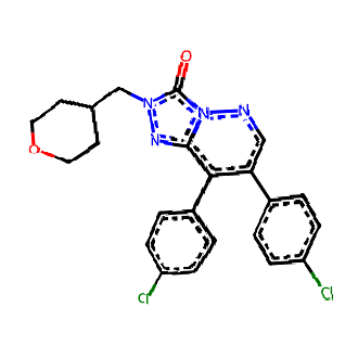 O=c1n(CC2CCOCC2)nc2c(-c3ccc(Cl)cc3)c(-c3ccc(Cl)cc3)cnn12